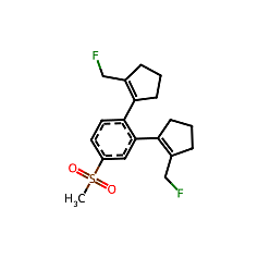 CS(=O)(=O)c1ccc(C2=C(CF)CCC2)c(C2=C(CF)CCC2)c1